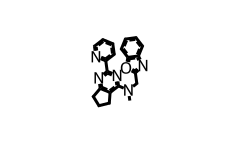 CN(Cc1nc2ccccc2o1)c1nc(-c2ccccn2)nc2c1CCC2